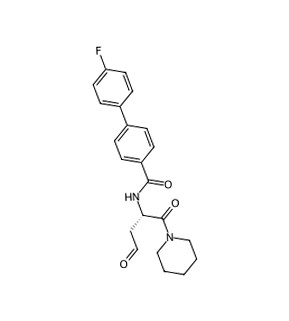 O=CC[C@H](NC(=O)c1ccc(-c2ccc(F)cc2)cc1)C(=O)N1CCCCC1